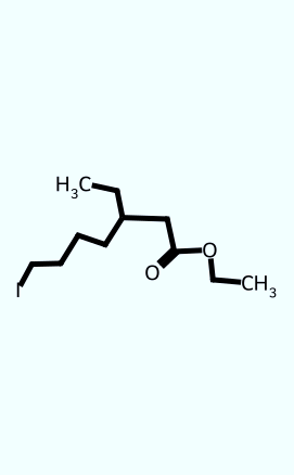 CCOC(=O)CC(CC)CCCCI